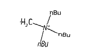 [CH2][N+](CCCC)(CCCC)CCCC